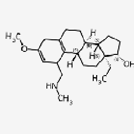 CC[C@]12CC[C@@H]3C4=C(CC[C@H]3[C@@H]1CC[C@@H]2O)CC(OC)=CC4CNC